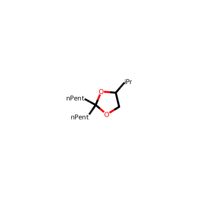 CCCCCC1(CCCCC)OCC(C(C)C)O1